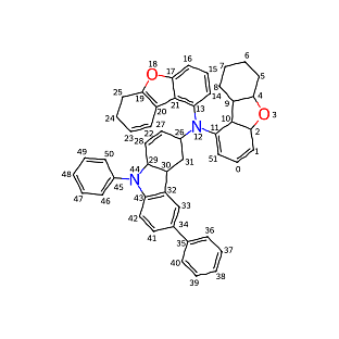 C1=CC2OC3CCCCC3C2C(N(c2cccc3oc4c(c23)C=CCC4)C2C=CC3C(C2)c2cc(-c4ccccc4)ccc2N3c2ccccc2)=C1